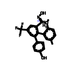 COc1ccc(C)cc1-c1c(/C(N)=N/O)cc(C(F)(F)F)cc1-c1ccc(O)cc1